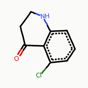 O=C1CCNc2cccc(Cl)c21